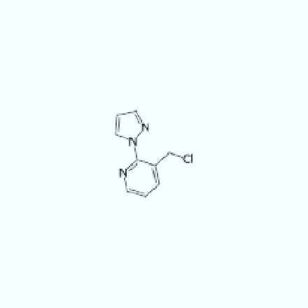 ClCc1cccnc1-n1cccn1